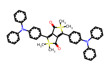 CS1(C)C(=O)C2=C(c3ccc(N(c4ccccc4)c4ccccc4)cc3)S(C)(C)C(=O)C2=C1c1ccc(N(c2ccccc2)c2ccccc2)cc1